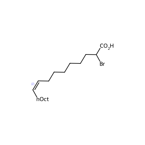 CCCCCCCC/C=C\CCCCCCC(Br)C(=O)O